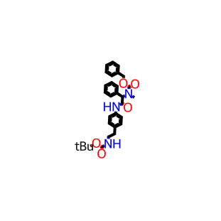 CN(C(=O)OCc1ccccc1)C(C(=O)Nc1ccc(CCNC(=O)OC(C)(C)C)cc1)c1ccccc1